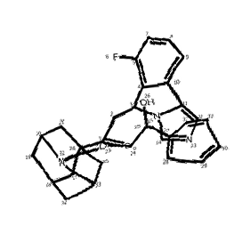 O=C(CC1c2c(F)cccc2-c2cncn21)C12CC3CC(C1)N(OCC(O)c1ccccc1)C(C3)C2